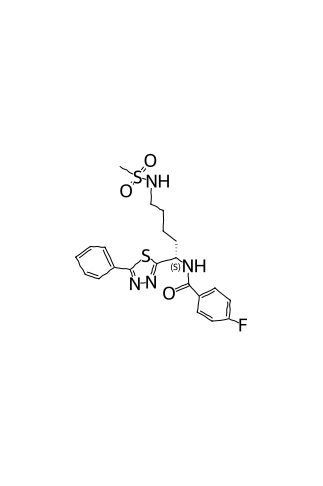 CS(=O)(=O)NCCCC[C@H](NC(=O)c1ccc(F)cc1)c1nnc(-c2ccccc2)s1